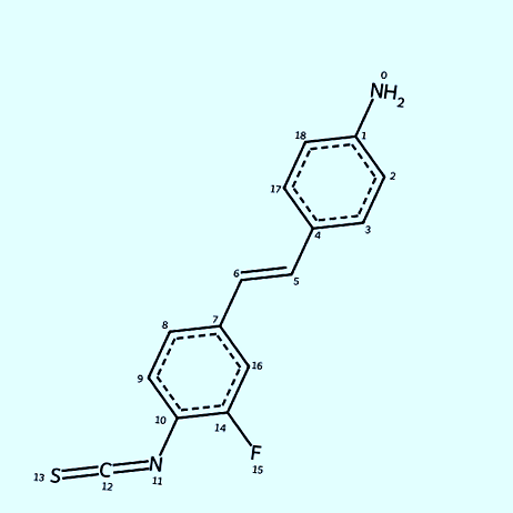 Nc1ccc(C=Cc2ccc(N=C=S)c(F)c2)cc1